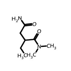 CC[C](CC(N)=O)C(=O)N(C)C